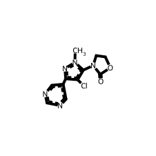 Cn1nc(-c2cncnc2)c(Cl)c1N1CCOC1=O